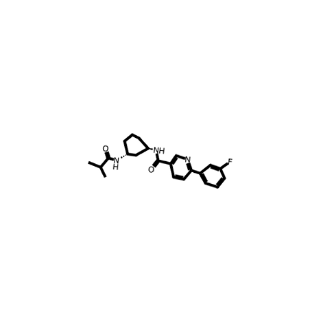 CC(C)C(=O)N[C@@H]1CCC[C@H](NC(=O)c2ccc(-c3cccc(F)c3)nc2)C1